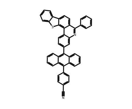 N#Cc1ccc(-c2c3ccccc3c(-c3ccc4c(c3)nc(-c3ccccc3)c3ccc5c6ccccc6sc5c34)c3ccccc23)cc1